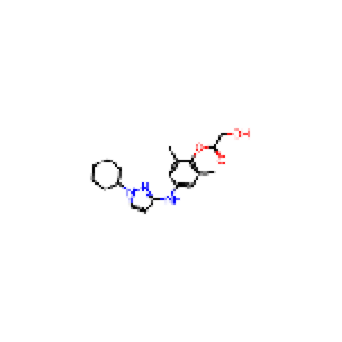 Cc1cc(Nc2ccn(C3CCCCC3)n2)cc(C)c1OC(=O)CO